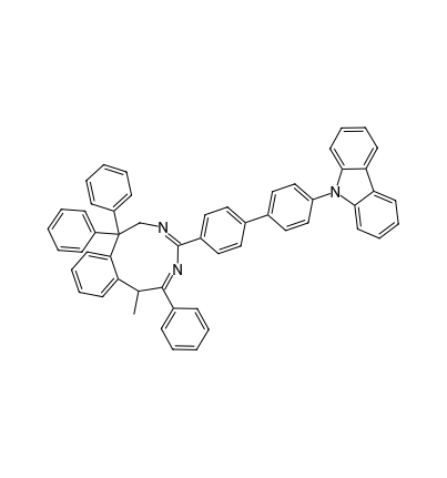 CC1/C(c2ccccc2)=N\C(c2ccc(-c3ccc(-n4c5ccccc5c5ccccc54)cc3)cc2)=N/CC(c2ccccc2)(c2ccccc2)c2ccccc21